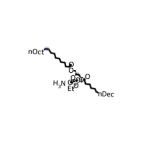 CCCCCCCC/C=C\CCCCCCCC(=O)OC[C@H](COC(=O)CCCCCCCCCCCCCCC)OP(=O)(O)OCC.N